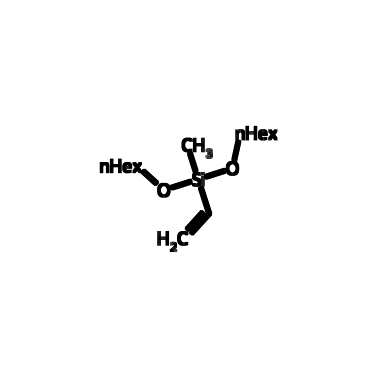 C=C[Si](C)(OCCCCCC)OCCCCCC